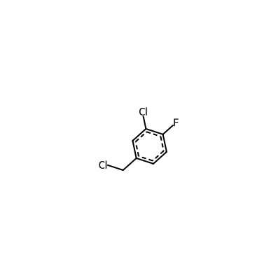 Fc1ccc(CCl)cc1Cl